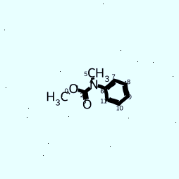 COC(=O)N(C)c1c[c]ccc1